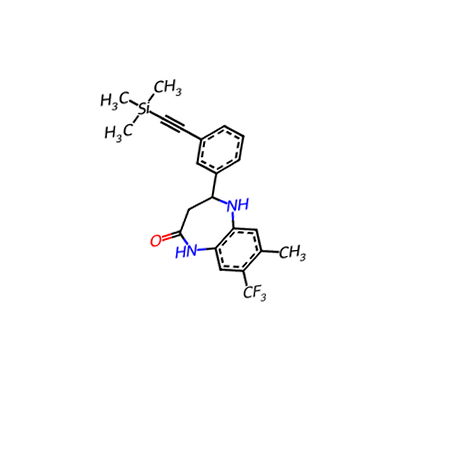 Cc1cc2c(cc1C(F)(F)F)NC(=O)CC(c1cccc(C#C[Si](C)(C)C)c1)N2